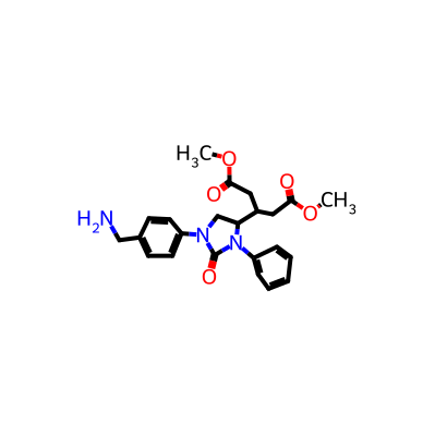 COC(=O)CC(CC(=O)OC)C1CN(c2ccc(CN)cc2)C(=O)N1c1ccccc1